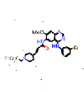 CCOC(=O)CN1CCC(/C=C/C(=O)Nc2cc3c(Nc4cccc(Br)c4)ncnc3cc2OC)CC1